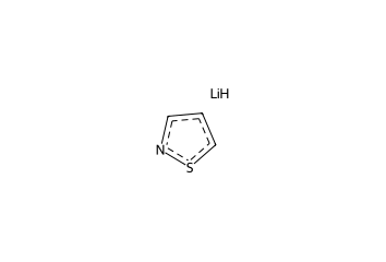 [LiH].c1cnsc1